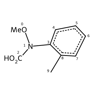 CON(C(=O)O)c1ccccc1C